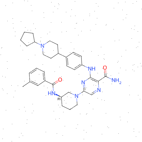 Cc1cccc(C(=O)N[C@@H]2CCCN(c3cnc(C(N)=O)c(Nc4ccc(C5CCN(C6CCCC6)CC5)cc4)n3)C2)c1